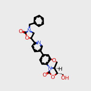 O=C1OC(c2ccc(-c3ccc4c(c3)OC[C@H]3[C@H](CO)OC(=O)N43)cn2)CN1Cc1ccccc1